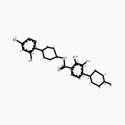 CCc1ccc(C2CCC(OC(=O)c3ccc(C4CCC(C)CC4)c(F)c3F)CC2)c(F)c1